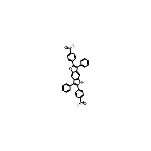 O=[N+]([O-])c1ccc(-c2[nH]c3cc4c(-c5ccccc5)c(-c5ccc([N+](=O)[O-])cc5)oc4cc3c2-c2ccccc2)cc1